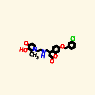 Cc1c(O)c(=O)ccn1CCNCc1cc(=O)oc2cc(OCc3cccc(Cl)c3)ccc12